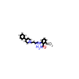 NC(=O)c1c(NCCCCN2CC=C(c3ccccc3)CC2)cccc1[N+](=O)[O-]